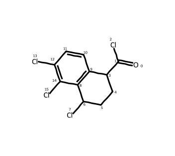 O=C(Cl)C1CCC(Cl)c2c1ccc(Cl)c2Cl